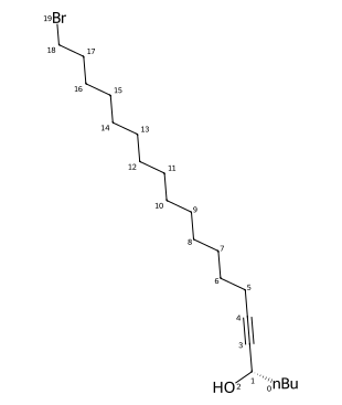 CCCC[C@H](O)C#CCCCCCCCCCCCCCCBr